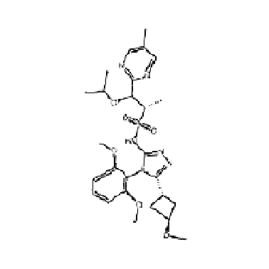 COc1cccc(OC)c1-n1c(NS(=O)(=O)[C@@H](C)[C@@H](OC(C)C)c2ncc(C)cn2)nnc1[C@H]1C[C@H](OC)C1